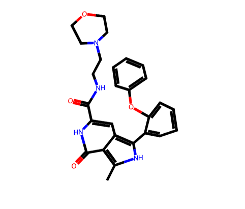 Cc1[nH]c(-c2ccccc2Oc2ccccc2)c2cc(C(=O)NCCN3CCOCC3)[nH]c(=O)c12